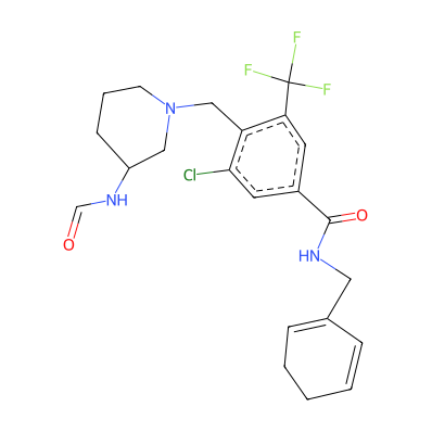 O=CNC1CCCN(Cc2c(Cl)cc(C(=O)NCC3=CCCC=C3)cc2C(F)(F)F)C1